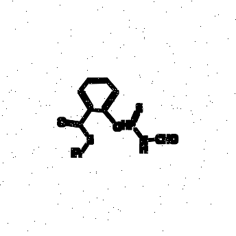 CC(C)SC(=O)c1ccccc1O[PH](=S)NC=O